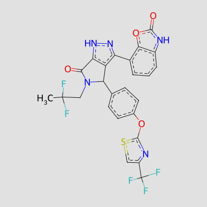 CC(F)(F)CN1C(=O)c2[nH]nc(-c3cccc4[nH]c(=O)oc34)c2C1c1ccc(Oc2nc(C(F)(F)F)cs2)cc1